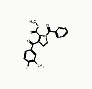 COC(=O)C1=C(C(=O)c2ccc(F)c(C)c2)CCN1C(=O)c1ccccc1